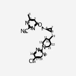 Cc1cc(OC[C@@H]2C[C@@H]2CC2CCN(c3ncc(Cl)cn3)CC2)nc(C#N)n1